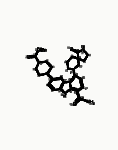 COC(=O)N1CCC(c2ccc3[nH]c4c(C(N)=O)cnc(N5CCCC6(CCNC6=O)C5)c4c3c2)CC1